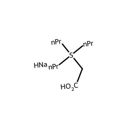 CCCS(CCC)(CCC)CC(=O)O.[NaH]